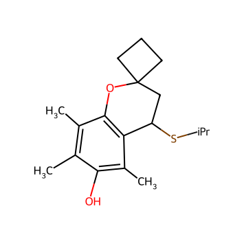 Cc1c(C)c2c(c(C)c1O)C(SC(C)C)CC1(CCC1)O2